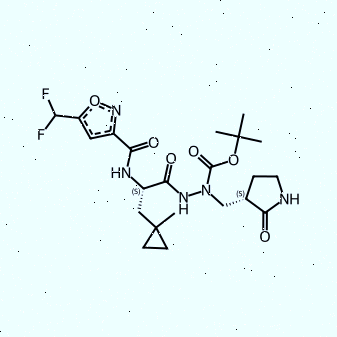 CC1(C[C@H](NC(=O)c2cc(C(F)F)on2)C(=O)NN(C[C@@H]2CCNC2=O)C(=O)OC(C)(C)C)CC1